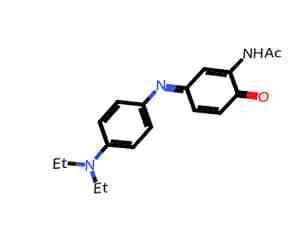 CCN(CC)c1ccc(N=C2C=CC(=O)C(NC(C)=O)=C2)cc1